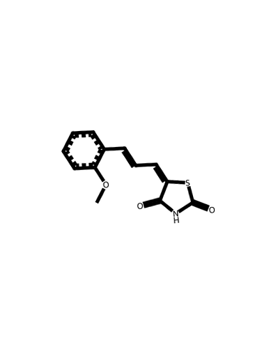 COc1ccccc1C=CC=C1SC(=O)NC1=O